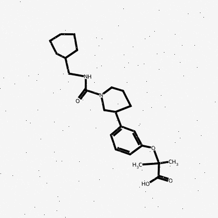 CC(C)(Oc1cccc(C2CCCN(C(=O)NCC3CCCCC3)C2)c1)C(=O)O